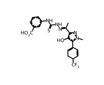 C/C(=N\NC(=S)Nc1cccc(C(=O)O)c1)c1nn(C)c(C2=CCC(C(F)(F)F)C=C2)c1O